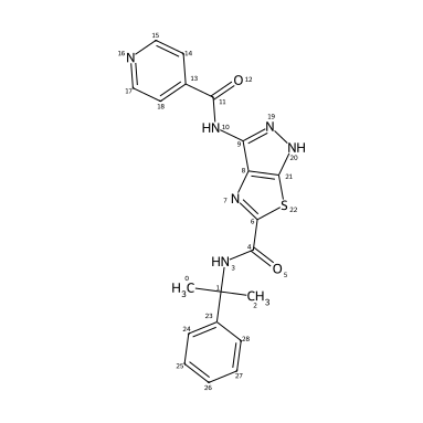 CC(C)(NC(=O)c1nc2c(NC(=O)c3ccncc3)n[nH]c2s1)c1ccccc1